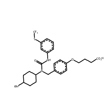 CC(C)(C)C1CCC(N(Cc2ccc(OCCCC(=O)O)cc2)C(=O)Nc2cccc(SC(F)(F)F)c2)CC1